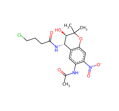 CC(=O)Nc1cc2c(cc1[N+](=O)[O-])OC(C)(C)[C@H](O)[C@H]2NC(=O)CCCCl